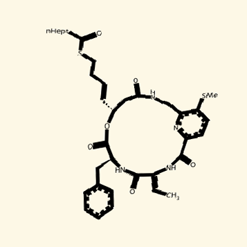 C/C=C1\NC(=O)c2ccc(SC)c(n2)CNC(=O)C[C@@H](/C=C/CCSC(=O)CCCCCCC)OC(=O)[C@H](Cc2ccccc2)NC1=O